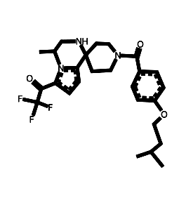 CC(C)CCOc1ccc(C(=O)N2CCC3(CC2)NCC(C)n2c(C(=O)C(F)(F)F)ccc23)cc1